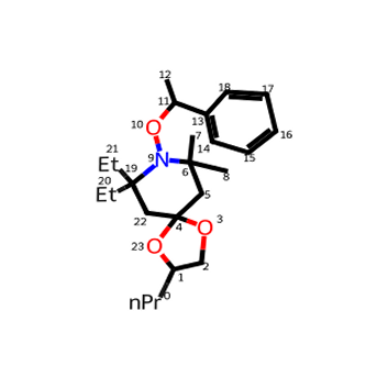 CCCC1COC2(CC(C)(C)N(OC(C)c3ccccc3)C(CC)(CC)C2)O1